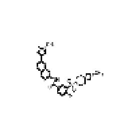 CN1CC2(CCN(S(=O)(=O)c3cc(C(=O)Nc4cc5cc(-c6cnn(C)c6)ccc5cn4)ccc3F)CC2)C1